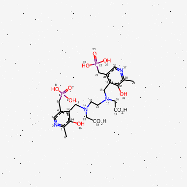 Cc1ncc(CP(=O)(O)O)c(CN(CCN(CC(=O)O)Cc2c(CP(=O)(O)O)cnc(C)c2O)CC(=O)O)c1O